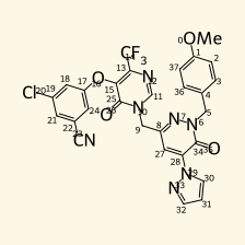 COc1ccc(Cn2nc(Cn3cnc(C(F)(F)F)c(Oc4cc(Cl)cc(C#N)c4)c3=O)cc(-n3cccn3)c2=O)cc1